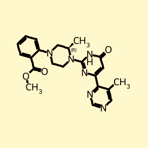 COC(=O)c1ccccc1N1CCN(c2nc(-c3ncncc3C)cc(=O)[nH]2)[C@H](C)C1